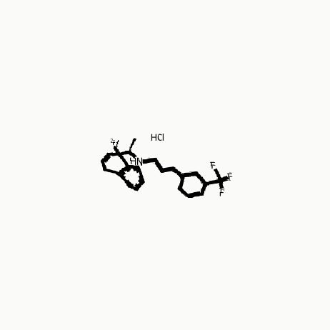 Cl.[2H]C1([C@@H](C)NCCCC2CC=CC(C(F)(F)F)C2)C=CCc2ccccc21